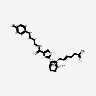 O=C(O)CC/C=C/C[C@@H]1[C@H]2CCC(O2)[C@@H]1c1nc(C(=O)NCCCCc2ccc(Cl)cc2)co1